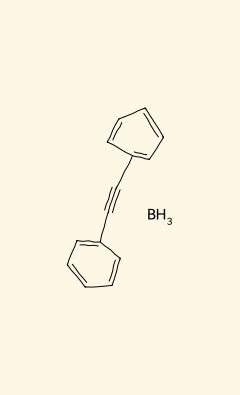 B.C(#Cc1ccccc1)c1ccccc1